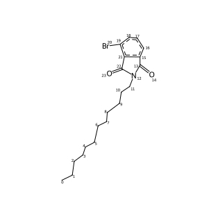 CCCCCCCCCCCCN1C(=O)c2cccc(Br)c2C1=O